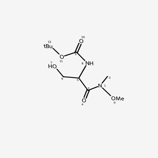 CON(C)C(=O)C(CO)NC(=O)OC(C)(C)C